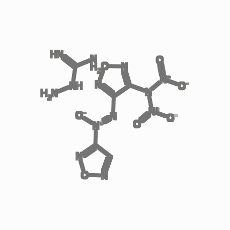 N=C(N)NN.O=[N+]([O-])N(c1nonc1N=[N+]([O-])c1cnon1)[N+](=O)[O-]